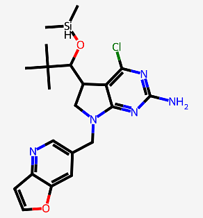 C[SiH](C)OC(C1CN(Cc2cnc3ccoc3c2)c2nc(N)nc(Cl)c21)C(C)(C)C